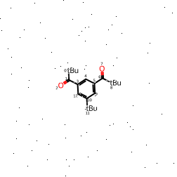 CC(C)(C)C(=O)c1cc(C(=O)C(C)(C)C)cc(C(C)(C)C)c1